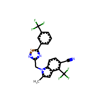 Cc1cc2c(C(F)(F)F)c(C#N)ccc2n1Cc1nsc(-c2cccc(C(F)(F)F)c2)n1